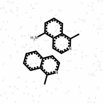 Cc1nccc2c(N)cccc12.Cc1nccc2ccccc12